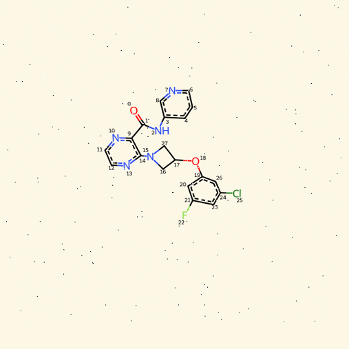 O=C(Nc1cccnc1)c1nccnc1N1CC(Oc2cc(F)cc(Cl)c2)C1